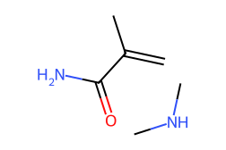 C=C(C)C(N)=O.CNC